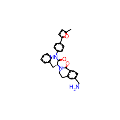 Cc1ccc(-c2ccc(NC(=O)[C@H](Cc3ccccc3)N3CCc4cc(CN)ccc4C3=O)cc2)o1